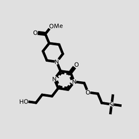 COC(=O)C1CCN(c2nc(CCCO)cn(COCC[Si](C)(C)C)c2=O)CC1